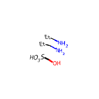 CCN.CCN.O=S(=O)(O)O